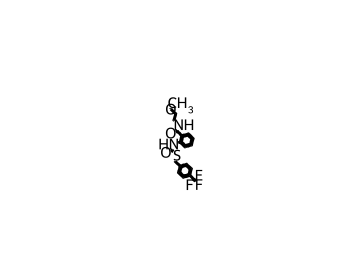 COCCNC(=O)c1ccccc1NC(=O)SCc1ccc(C(F)(F)F)cc1